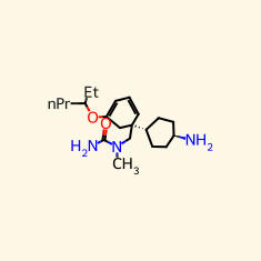 CCCC(CC)OC1=CC=CC(CN(C)C(N)=O)([C@H]2CC[C@H](N)CC2)C1